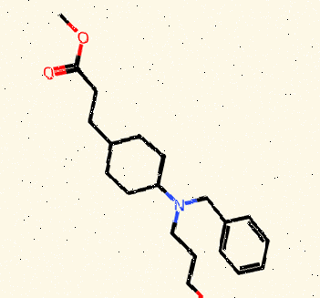 COC(=O)CCC1CCC(N(CCCO)Cc2ccccc2)CC1